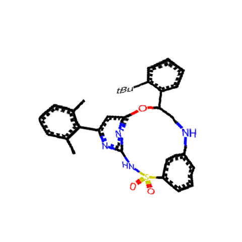 Cc1cccc(C)c1-c1cc2nc(n1)NS(=O)(=O)c1cccc(c1)NCC(c1ccccc1C(C)(C)C)O2